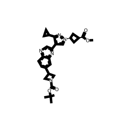 COC(=O)[C@H]1C[C@H](n2cc(-c3cnc4ccc(C5CN(C(=O)OC(C)(C)C)C5)cc4n3)c(C3CC3)n2)C1